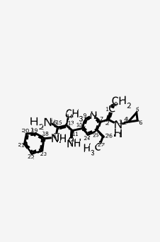 C=C=C(NC1CC1)c1ncc(C(=N)/C(C)=C(/N)Nc2ccccc2)cc1CC